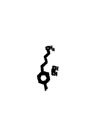 C#C.CCCCCc1ccc(F)cc1